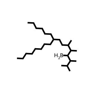 BC(C(C)C(C)C)C(C)C(C)CCC(CCCCCC)CCCCCCCC